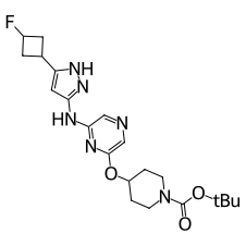 CC(C)(C)OC(=O)N1CCC(Oc2cncc(Nc3cc(C4CC(F)C4)[nH]n3)n2)CC1